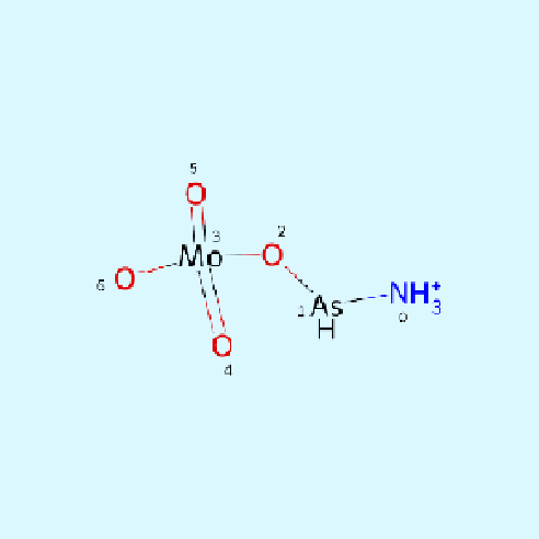 [NH3+][AsH][O][Mo](=[O])(=[O])[O-]